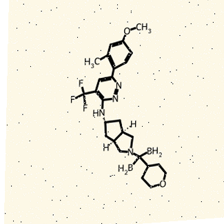 BC(B)(C1CCOCC1)N1C[C@H]2C[C@H](Nc3nnc(-c4ccc(OC)cc4C)cc3C(F)(F)F)C[C@H]2C1